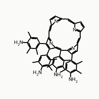 Cc1cc(C2=CC3=CC4=NC(=CC5=NC(=CC6=NC(=C(c7cc(C)c(N)c(C)c7C)C2=N3)C(c2cc(C)c(N)c(C)c2C)=C6c2cc(C)c(N)c(C)c2C)C=C5)C=C4)c(C)c(C)c1N